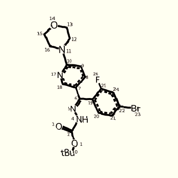 CC(C)(C)OC(=O)N/N=C(/c1ccc(N2CCOCC2)nc1)c1ccc(Br)cc1F